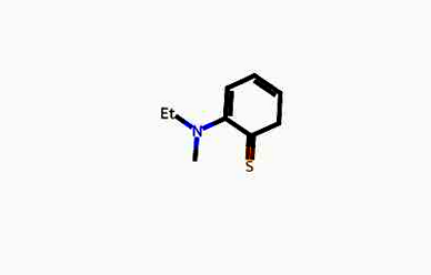 CCN(C)C1=CC=CCC1=S